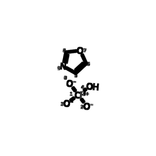 [O-][Cl+3]([O-])([O-])O.c1cocn1